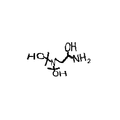 CC(C)(O)N(CCC(N)O)C(C)(C)O